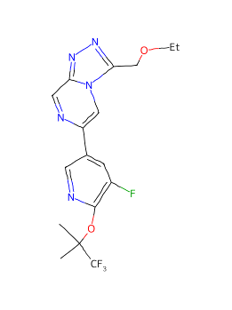 CCOCc1nnc2cnc(-c3cnc(OC(C)(C)C(F)(F)F)c(F)c3)cn12